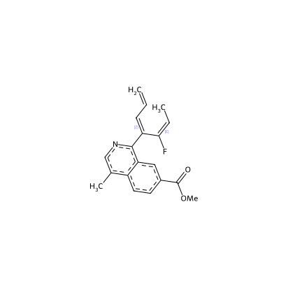 C=C/C=C(\C(F)=C/C)c1ncc(C)c2ccc(C(=O)OC)cc12